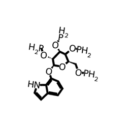 POC[C@H]1O[C@@H](Oc2cccc3cc[nH]c23)[C@H](OP)[C@@H](OP)C1OP